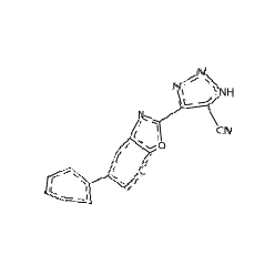 N#Cc1[nH]nnc1-c1nc2cc(-c3ccccc3)ccc2o1